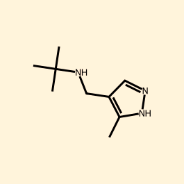 Cc1[nH]ncc1CNC(C)(C)C